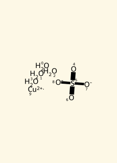 O.O.O.O.O=S(=O)([O-])[O-].[Cu+2]